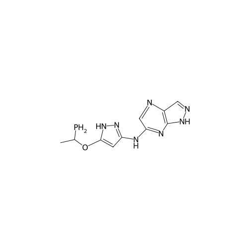 CC(P)Oc1cc(Nc2cnc3cn[nH]c3n2)n[nH]1